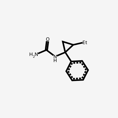 CCC1CC1(NC(N)=O)c1ccccc1